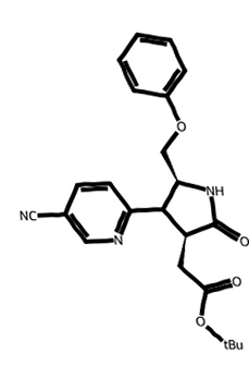 CC(C)(C)OC(=O)C[C@@H]1C(=O)N[C@H](COc2ccccc2)C1c1ccc(C#N)cn1